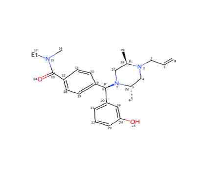 C=CCN1C[C@H](C)N([C@H](c2ccc(C(=O)N(C)CC)cc2)c2cccc(O)c2)C[C@H]1C